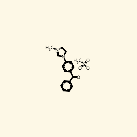 CS(=O)(=O)[O-].C[N+]1=CN(c2ccc(C(=O)c3ccccc3)cc2)CC1